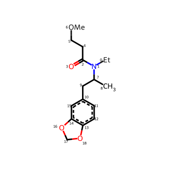 CCN(C(=O)CCOC)C(C)Cc1ccc2c(c1)OCO2